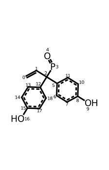 C=CC(P=O)(c1ccc(O)cc1)c1ccc(O)cc1